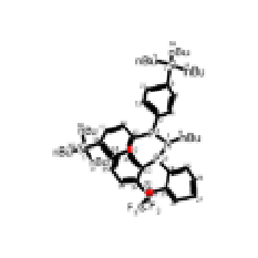 CCCCN(P(c1ccc([Si](CCCC)(CCCC)CCCC)cc1)c1ccc([Si](CCCC)(CCCC)CCCC)cc1)P(c1ccccc1SC(F)(F)F)c1ccccc1SC(F)(F)F